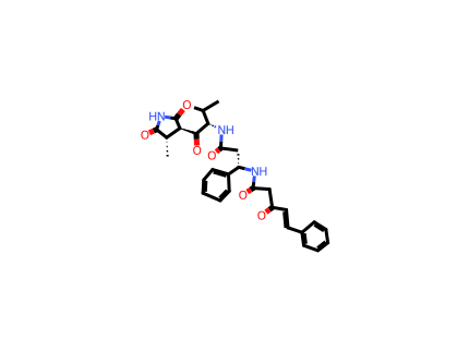 CC(C)[C@H](NC(=O)C[C@H](NC(=O)CC(=O)/C=C/c1ccccc1)c1ccccc1)C(=O)[C@@H]1C(=O)NC(=O)[C@H]1C